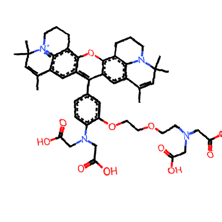 CC1=CC(C)(C)N2CCCc3c4c(cc1c32)C(c1ccc(N(CC(=O)O)CC(=O)O)c(OCCOCCN(CC(=O)O)CC(=O)O)c1)=c1cc2c3c(c1O4)CCC[N+]=3C(C)(C)C=C2C